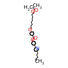 C=C(C)C(=O)OCCCCCCCCCOc1ccc(C(=O)Oc2ccc(-c3ccc(CCCCC)cn3)cc2)cc1